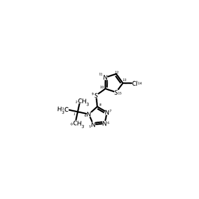 CC(C)(C)n1nnnc1Sc1ncc(Cl)s1